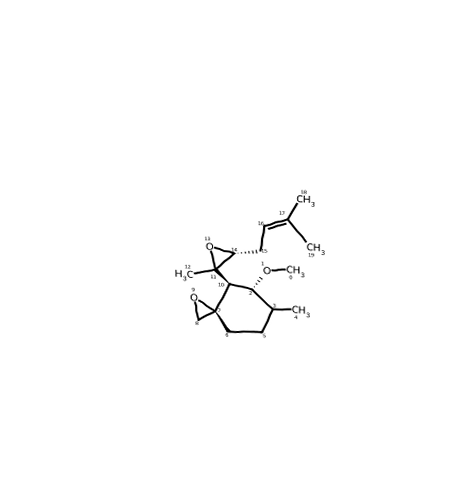 CO[C@@H]1C(C)CC[C@]2(CO2)[C@H]1C1(C)O[C@@H]1CC=C(C)C